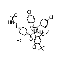 CCOc1cc(C(C)(C)C)c(Cl)cc1C1(C(=O)N2CCN(CCNC(C)=O)CC2)N[C@H](c2ccc(Cl)cc2)[C@H](c2ccc(Cl)cc2)N1.Cl